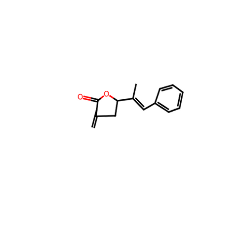 C=C1CC(/C(C)=C/c2ccccc2)OC1=O